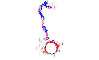 CO[C@H]1C[C@@H]2CC[C@@H](C)[C@@](O)(O2)C(=O)C(=O)N2CCCC[C@H]2C(=O)O[C@H]([C@H](N)C[C@@H]2CC[C@@H](OC(=O)NCc3cnc(N4CCN(C(=O)CCOCCN5CCN(c6ncc(C(=O)N7CCc8cc(Cn9nc(-c%10ccc%11oc(N)nc%11c%10)c%10c(N)ncnc%109)ccc8C7)cn6)CC5)CC4)nc3)[C@H](OC)C2)CC(=O)[C@H](C)/C=C(\C)[C@@H](O)[C@@H](OC)C(=O)[C@H](C)C[C@H](C)/C=C/C=C/C=C/1C